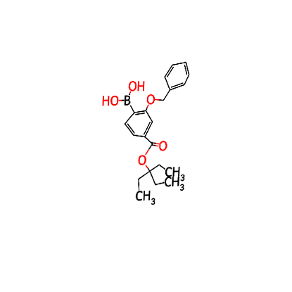 CCC(CC)(CC)OC(=O)c1ccc(B(O)O)c(OCc2ccccc2)c1